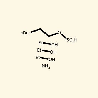 CCCCCCCCCCCCOS(=O)(=O)O.CCO.CCO.CCO.N